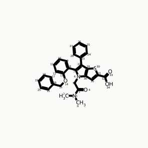 CN(C)C(=O)Cn1c(-c2ccccc2OCc2ccccc2)c(-c2ccccc2)c2sc(C(=O)O)cc21